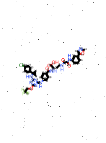 O=C(NCC[C@H](NC(=O)c1ccc(Nc2nc(NC3(c4ccc(Cl)cc4)CC3)nc(OCC(F)(F)F)n2)cc1)C(=O)O)C(=O)Nc1cccc(-c2cnco2)c1